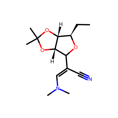 CC[C@H]1OC(C(C#N)=CN(C)C)[C@@H]2OC(C)(C)O[C@H]12